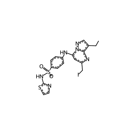 CCc1cnn2c(Nc3ccc(S(=O)(=O)Nc4nccs4)cc3)cc(CI)nc12